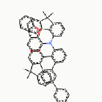 CC1(C)c2ccccc2-c2c(-c3c(-c4cccc(-c5ccccc5)c4)cccc3N(c3cccc4c3-c3ccccc3C4(C)C)c3cccc4c3oc3ccccc34)cccc21